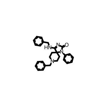 O=C1N=C(NCc2ccccc2)C2(CCN(Cc3ccccc3)CC2)N1c1ccccc1